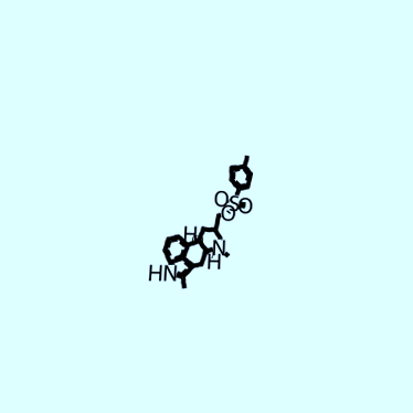 Cc1ccc(S(=O)(=O)OCC2C[C@@H]3c4cccc5[nH]c(C)c(c45)C[C@H]3N(C)C2)cc1